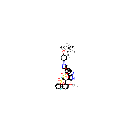 COc1ccc(F)c(Cl)c1C(c1c[nH]c2ncc(-c3cnn(C4CCC(O[Si](C)(C)C(C)(C)C)CC4)c3)cc12)C(F)(S(=O)(=O)c1ccccc1)S(=O)(=O)c1ccccc1